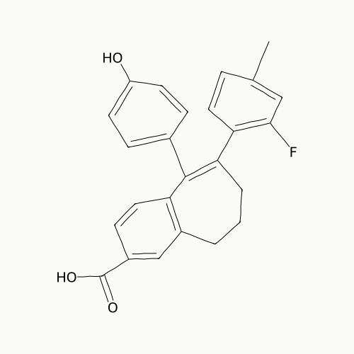 Cc1ccc(C2=C(c3ccc(O)cc3)c3ccc(C(=O)O)cc3CCC2)c(F)c1